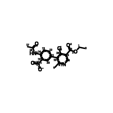 CCOC(=O)c1cnc(C)c(-c2ccc(NC(C)=O)c([N+](=O)[O-])c2)c1Cl